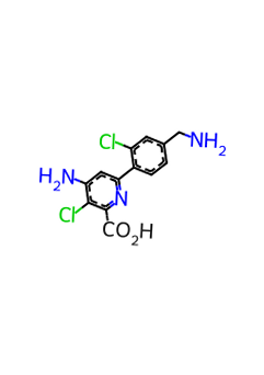 NCc1ccc(-c2cc(N)c(Cl)c(C(=O)O)n2)c(Cl)c1